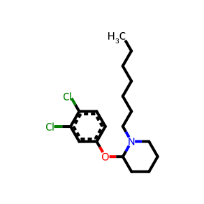 CCCCCCCN1CCCCC1Oc1ccc(Cl)c(Cl)c1